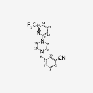 N#Cc1cccc(CN2CCN(c3cccc(C(F)(F)F)n3)CC2)c1